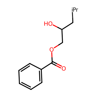 CC(C)CC(O)COC(=O)c1ccccc1